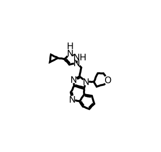 C1=C(C2CC2)NNN1Cc1nc2cnc3ccccc3c2n1C1CCOCC1